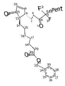 CCCCCC(F)(F)C(=O)CC[C@H]1C=CC(=O)[C@@H]1CCCCCCC(=O)OCc1ccccc1